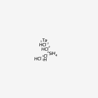 Cl.Cl.Cl.Cl.[SiH4].[Ta]